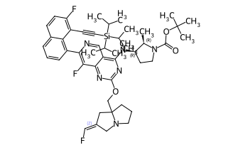 CC(C)[Si](C#Cc1c(F)ccc2cccc(-c3ncc4c(N(C)[C@@H]5CCN(C(=O)OC(C)(C)C)[C@@H]5C)nc(OCC56CCCN5C/C(=C\F)C6)nc4c3F)c12)(C(C)C)C(C)C